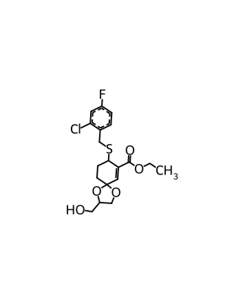 CCOC(=O)C1=CC2(CCC1SCc1ccc(F)cc1Cl)OCC(CO)O2